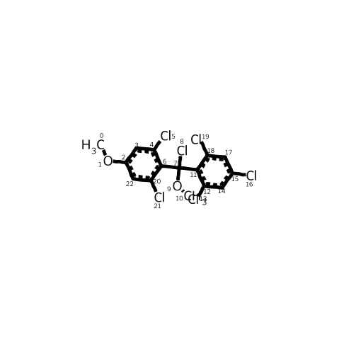 COc1cc(Cl)c(C(Cl)(OC)c2c(Cl)cc(Cl)cc2Cl)c(Cl)c1